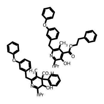 CCCC1=NC(Cc2cccc(Oc3ccccc3)c2)=C(C)C(C(=O)O)(c2ccccc2)C1O.CCCc1nc(Cc2cccc(Oc3ccccc3)c2)c(C)c(C(=O)OCCc2ccccc2)c1O